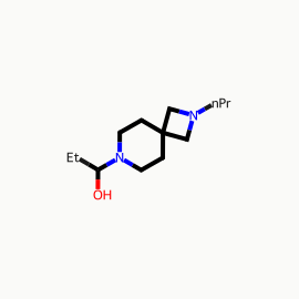 CCCN1CC2(CCN(C(O)CC)CC2)C1